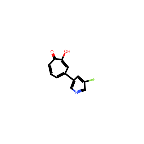 O=c1cccc(-c2cncc(F)c2)cc1O